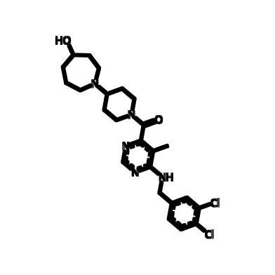 Cc1c(NCc2ccc(Cl)c(Cl)c2)ncnc1C(=O)N1CCC(N2CCCC(O)CC2)CC1